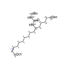 CCCCCCCC/C=C\CCCCCCCC(CCCCCCCCCCCCCC)NC(=O)NCCCC